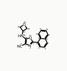 N#Cc1nc(-c2cccc3ccccc23)oc1NC1COC1